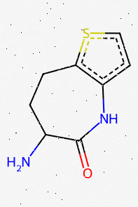 NC1CCc2sccc2NC1=O